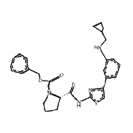 O=C(Nc1nc(-c2cccc(NCC3CC3)c2)cs1)[C@@H]1CCCN1C(=O)OCc1ccccc1